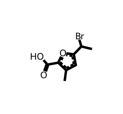 Cc1cc(C(C)Br)oc1C(=O)O